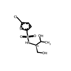 CC(O)[C@@H](CO)NS(=O)(=O)c1ccc(Cl)s1